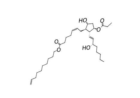 C=CCCCCCCCCOC(=O)CCC/C=C\C[C@@H]1[C@@H](/C=C/[C@@H](O)CCCCC)[C@H](OC(=O)CC)C[C@@H]1O